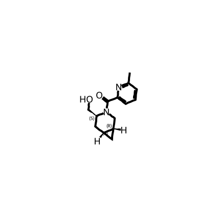 Cc1cccc(C(=O)N2C[C@@H]3C[C@@H]3C[C@H]2CO)n1